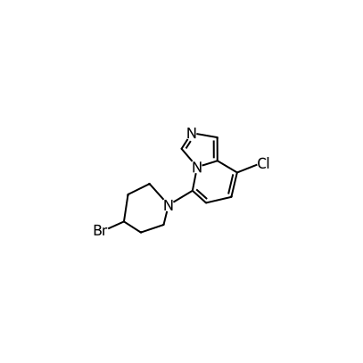 Clc1ccc(N2CCC(Br)CC2)n2cncc12